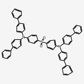 O=S(=O)(c1ccc(N(c2ccc(-c3ccccc3)cc2)c2ccc(-c3ccccc3)cc2)cc1)c1ccc(N(c2ccc(-c3ccccc3)cc2)c2ccc(-c3ccccc3)cc2)cc1